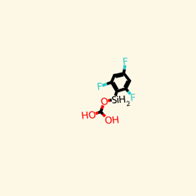 OC(O)O[SiH2]c1c(F)cc(F)cc1F